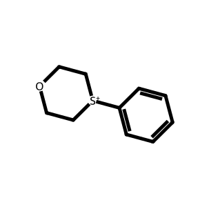 c1ccc([S+]2CCOCC2)cc1